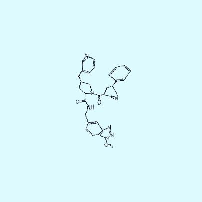 Cn1nnc2cc(CNC(=O)[C@@H]3C[C@@H](Cc4cccnc4)CN3C(=O)[C@H]3C[C@@H](c4ccccc4)CN3)ccc21